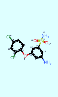 Nc1cc(Oc2ccc(Cl)cc2Cl)cc(S(N)(=O)=O)c1